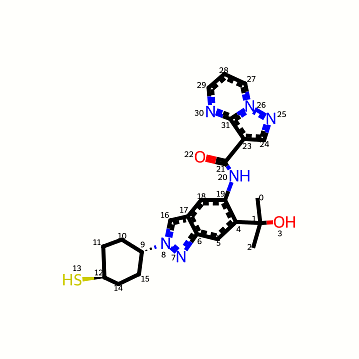 CC(C)(O)c1cc2nn([C@H]3CC[C@H](S)CC3)cc2cc1NC(=O)c1cnn2cccnc12